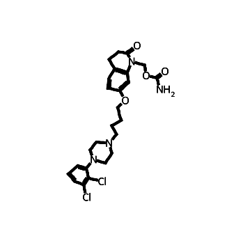 NC(=O)OCN1C(=O)CCc2ccc(OCCCCN3CCN(c4cccc(Cl)c4Cl)CC3)cc21